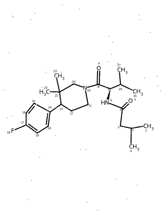 CC(C)CC(=O)N[C@@H](C(=O)N1CCC(c2ccc(F)cc2)C(C)(C)C1)C(C)C